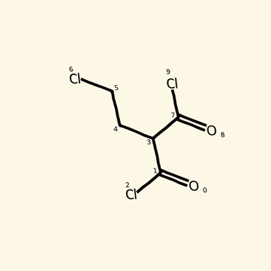 O=C(Cl)C(CCCl)C(=O)Cl